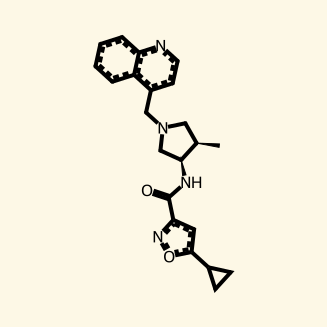 C[C@@H]1CN(Cc2ccnc3ccccc23)C[C@@H]1NC(=O)c1cc(C2CC2)on1